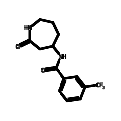 O=C1CC(NC(=O)c2cccc(C(F)(F)F)c2)CCCN1